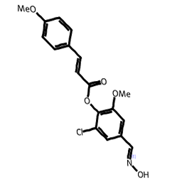 COc1ccc(C=CC(=O)Oc2c(Cl)cc(/C=N/O)cc2OC)cc1